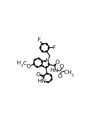 COc1ccc2c(c1)c(-c1ccc[nH]c1=O)c(C(=O)NS(C)(=O)=O)n2Cc1ccc(F)cc1F